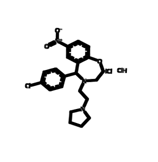 Cl.Cl.O=[N+]([O-])c1ccc2c(c1)C(c1ccc(Cl)cc1)N(CCN1CCCC1)CCO2